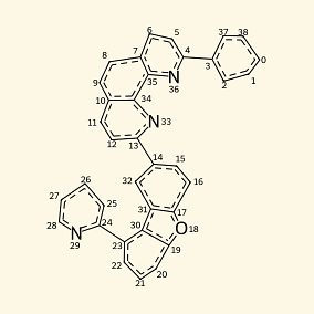 c1ccc(-c2ccc3ccc4ccc(-c5ccc6oc7cccc(-c8ccccn8)c7c6c5)nc4c3n2)cc1